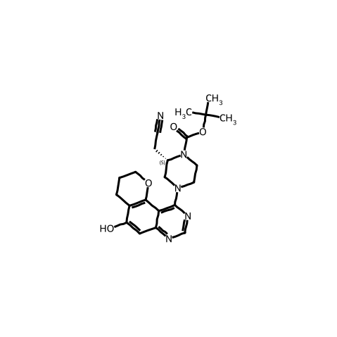 CC(C)(C)OC(=O)N1CCN(c2ncnc3cc(O)c4c(c23)OCCC4)C[C@@H]1CC#N